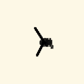 CCCCCCCCCCCCCC=C[C@@H](O)[C@H](C(=O)CCCCCCCCCCCCC)C(N)O